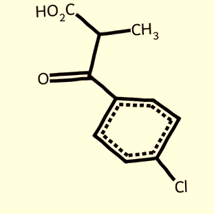 CC(C(=O)O)C(=O)c1ccc(Cl)cc1